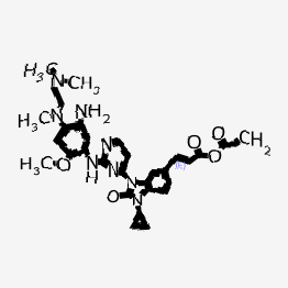 C=CC(=O)OC(=O)/C=C/c1ccc2c(c1)n(-c1ccnc(Nc3cc(N)c(N(C)CCN(C)C)cc3OC)n1)c(=O)n2C1CC1